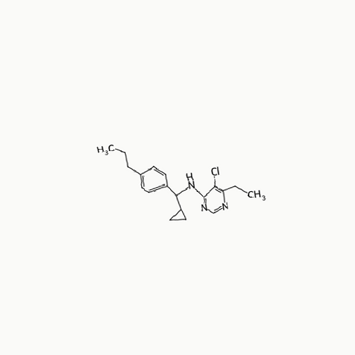 CCCc1ccc(C(Nc2ncnc(CC)c2Cl)C2CC2)cc1